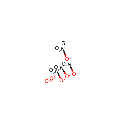 O=[N+]([O-])[O-].O=[N+]([O-])[O-].O=[N+]([O-])[O-].O=[N+]([O-])[O-].[O-2].[O-2].[Ti]